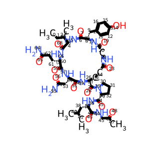 CC[C@H](C)[C@@H]1NC(=O)[C@H](Cc2ccc(O)cc2)NC(=O)CNC(=O)CC[C@@H](C(=O)N2CCC[C@@H]2C(=O)N[C@@H](CC(C)C)C(=O)NCC(C)=O)NC(=O)[C@H](CC(N)=O)NC(=O)[C@H](CCC(N)=O)NC1=O